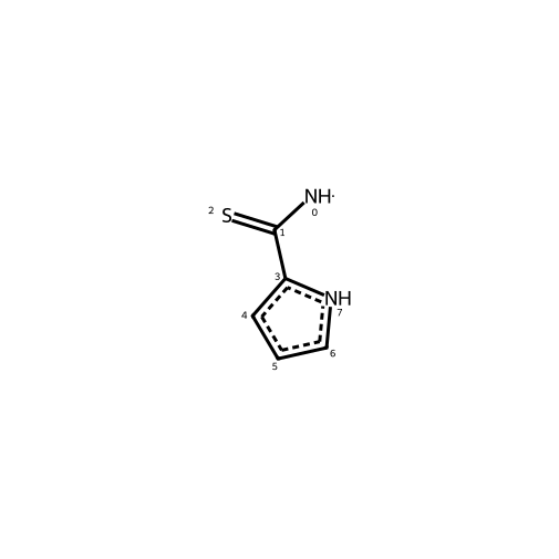 [NH]C(=S)c1ccc[nH]1